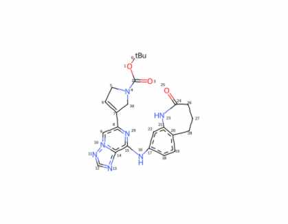 CC(C)(C)OC(=O)N1CC=C(c2cn3ncnc3c(Nc3ccc4c(c3)NC(=O)CCC4)n2)C1